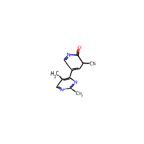 Cc1ncc(C)c(C2=CC(C#N)C(=O)N=C2)n1